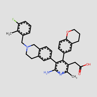 Cc1nc(N)c(-c2ccc3c(c2)CCN(Cc2cccc(F)c2C)C3)c(-c2ccc3c(c2)CCCO3)c1CC(=O)O